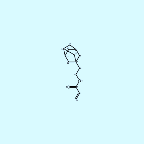 C=CC(=O)OCCC12CC3CC(C1)C(C3)C2